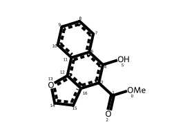 COC(=O)c1c(O)c2ccccc2c2occc12